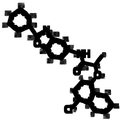 CC(Oc1ccc(Cl)c2ccccc12)C(=O)Nc1ccc2oc(-c3ccccc3)nc2c1